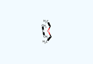 C=C=C.C=COC=C